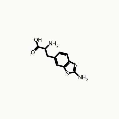 Nc1nc2ccc(CC(N)C(=O)O)cc2s1